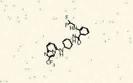 O=C(N[C@H]1CC[C@@H](Nc2cccc3nc(C(F)(F)F)cn23)CC1)c1ccccc1NCC(F)F